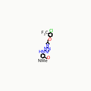 CNC(=O)c1cccc(Nc2ncnc(N3CC(COc4ccc(Cl)c(C(F)(F)F)c4)C3)n2)c1